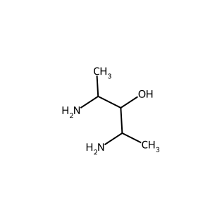 CC(N)C(O)C(C)N